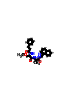 COCC(NC(=O)CCc1ccccc1)C(=O)N[C@@H](C)C(=O)NCc1cccc2c1C=CCC2